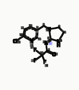 O=C(/N=C1\NCCN1Cc1ccc(Cl)nc1)C(F)(F)F